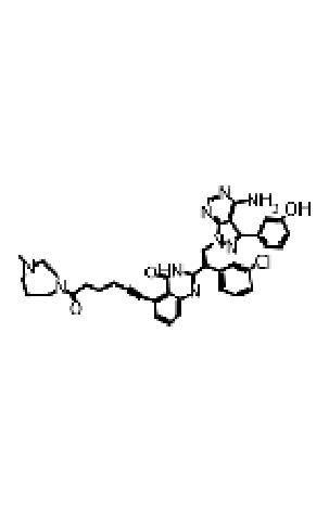 CN1CCCN(C(=O)CCCC#Cc2cccc3nc(C(Cn4nc(-c5cccc(O)c5)c5c(N)ncnc54)c4cccc(Cl)c4)[nH]c(=O)c23)CC1